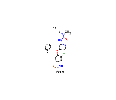 CC(=O)NC(=S)Nc1ccc(Oc2ccnc(NC(=O)N(C)CCC#N)c2)c(F)c1.c1cc2cc-2c1